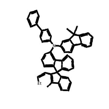 CC/C=C\C1=C(C)c2ccccc2C12c1ccccc1-c1c(N(c3ccc(-c4ccccc4)cc3)c3ccc4c(c3)C(C)(C)c3ccccc3-4)cccc12